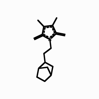 C=c1c(C)c(C)c(=C)n1CCC1CC2CCC1C2